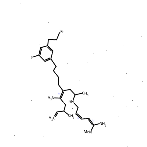 C=CC(C)C/C(N)=C(/CCCCc1cc(F)cc(CCC(C)C)c1)CC(C)NC/C=C\C=C(\N)NC